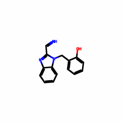 N=Cc1nc2ccccc2n1Cc1ccccc1O